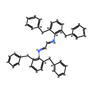 C(C=Nc1c(Cc2ccccc2)cccc1Cc1ccccc1)=Nc1c(Cc2ccccc2)cccc1Cc1ccccc1